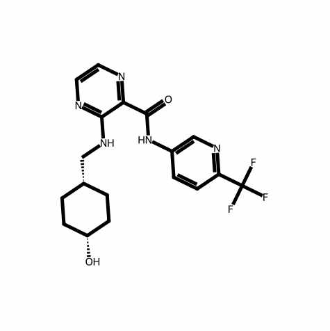 O=C(Nc1ccc(C(F)(F)F)nc1)c1nccnc1NC[C@H]1CC[C@@H](O)CC1